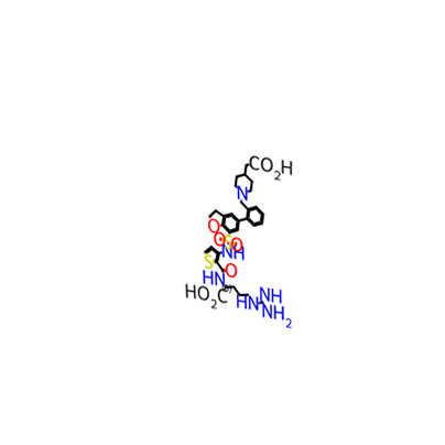 N=C(N)NCCC[C@H](NC(=O)c1sccc1NS(=O)(=O)c1cc(-c2ccccc2CN2CCC(CC(=O)O)CC2)cc2c1OCC2)C(=O)O